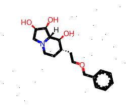 O[C@H]1[C@H](CCOCc2ccccc2)CCN2C[C@@H](O)[C@@H](O)[C@H]12